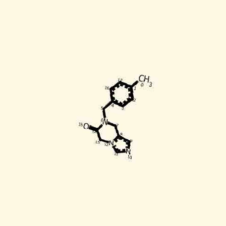 Cc1ccc(CN2Cc3cncn3CC2=O)cc1